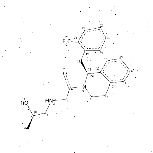 C[C@@H](O)CNCC(=O)N1CCc2ccccc2[C@@H]1Cc1ccccc1C(F)(F)F